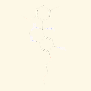 COCCOc1cc2c(cc1N)C(N)(c1cc(Br)ccc1OC)NC=N2